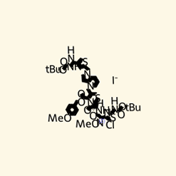 CO/N=C(\C(=O)N[C@@H]1C(=O)N2C(C(=O)OCc3ccc(OC)cc3)=C(C[n+]3cccc4c3ccn4Cc3cc(C(=N)NC(=O)OC(C)(C)C)cs3)CS[C@H]12)c1nc(NC(=O)OC(C)(C)C)sc1Cl.[I-]